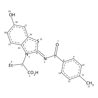 CCC(C(=O)O)n1c(=NC(=O)c2ccc(C)cc2)sc2cc(O)ccc21